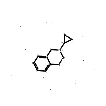 [CH]1c2ccccc2CCN1C1CC1